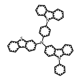 c1ccc(-n2c3ccccc3c3cc(N(c4ccc(-n5c6ccccc6c6ccccc65)cc4)c4ccc5c(c4)sc4ccccc45)ccc32)cc1